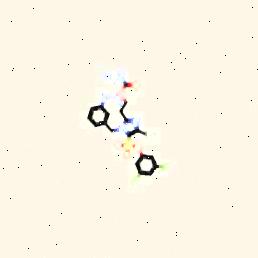 CC(C)c1nc(CCOC(N)=O)n(Cc2cccc(N)c2)c1S(=O)(=O)Oc1cc(F)cc(F)c1